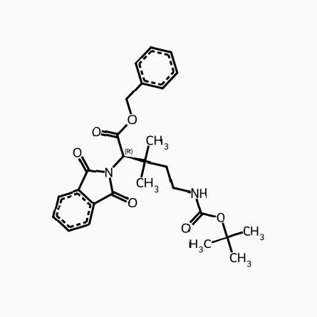 CC(C)(C)OC(=O)NCCC(C)(C)[C@H](C(=O)OCc1ccccc1)N1C(=O)c2ccccc2C1=O